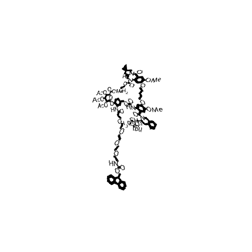 C=CCOC(=O)N1C[C@@H]2CC3(CC3)CN2C(=O)c2cc(OC)c(OCCCCCOc3cc(NC(=O)OCc4ccc(O[C@@H]5O[C@H](C(=O)OC)[C@@H](OC(C)=O)[C@H](OC(C)=O)[C@H]5OC(C)=O)c(NC(=O)CCOCCOCCOCCOCCNC(=O)OCC5c6ccccc6-c6ccccc65)c4)c(C(=O)N4Cc5ccccc5C[C@H]4CO[Si](C)(C)C(C)(C)C)cc3OC)cc21